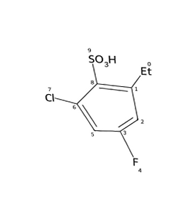 CCc1cc(F)cc(Cl)c1S(=O)(=O)O